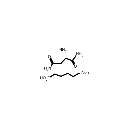 CCCCCCCCCCCCCC(=O)O.N.NC(=O)CCC(N)=O